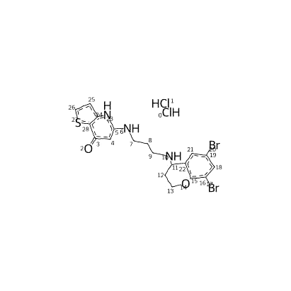 Cl.Cl.O=c1cc(NCCCNC2CCOc3c(Br)cc(Br)cc32)[nH]c2ccsc12